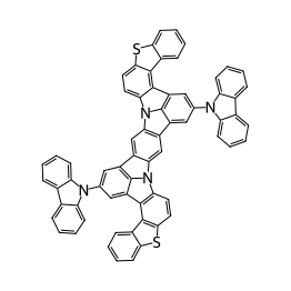 c1ccc2c(c1)sc1ccc3c(c4cc(-n5c6ccccc6c6ccccc65)cc5c6cc7c(cc6n3c54)c3cc(-n4c5ccccc5c5ccccc54)cc4c5c6c(ccc5n7c34)sc3ccccc36)c12